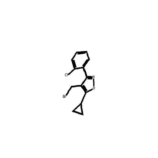 Clc1ccccc1-c1noc(C2CC2)c1CBr